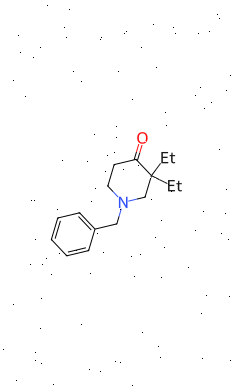 CCC1(CC)CN(Cc2ccccc2)CCC1=O